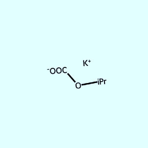 CC(C)OC(=O)[O-].[K+]